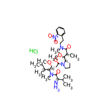 CC[C@H](C)[C@@H]([C@@H](CC(=O)N1CCC[C@H]1[C@H](OC)[C@@H](C)C(=O)N(C)CCc1ccccc1[N+](=O)[O-])OC)N(C)C(=O)[C@@H](N)C(C)C.Cl